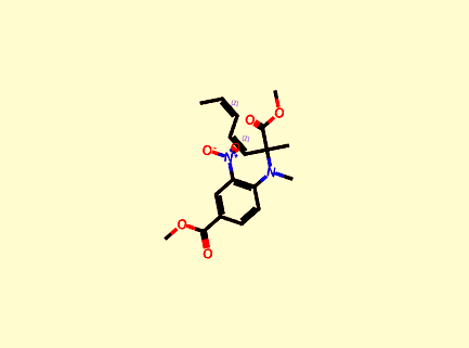 C/C=C\C=C/C(C)(C(=O)OC)N(C)c1ccc(C(=O)OC)cc1[N+](=O)[O-]